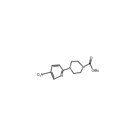 CC(C)COC(=O)N1CCN(c2ccc([N+](=O)[O-])cn2)CC1